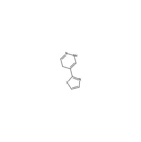 C1=NNC=C(c2nccs2)C1